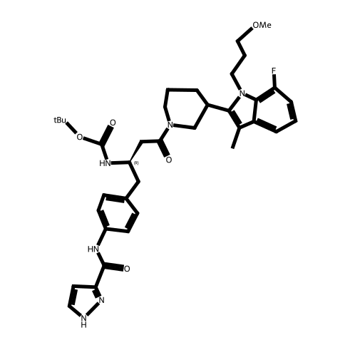 COCCCn1c(C2CCCN(C(=O)C[C@@H](Cc3ccc(NC(=O)c4cc[nH]n4)cc3)NC(=O)OC(C)(C)C)C2)c(C)c2cccc(F)c21